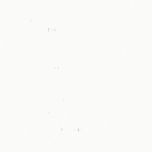 CNCCOc1ccc2c(c1)C(O)(C(F)(F)F)c1ccccc1-2